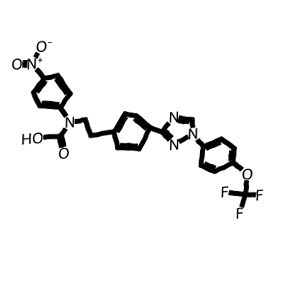 O=C(O)N(CCc1ccc(-c2ncn(-c3ccc(OC(F)(F)F)cc3)n2)cc1)c1ccc([N+](=O)[O-])cc1